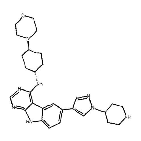 c1nc(N[C@H]2CC[C@H](N3CCOCC3)CC2)c2c(n1)[nH]c1ccc(-c3cnn(C4CCNCC4)c3)cc12